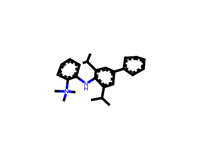 CC(C)c1cc(-c2ccccc2)cc(C(C)C)c1Nc1ccccc1[N+](C)(C)C